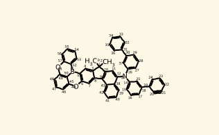 CC1(C)c2cc3c(cc2-c2c1cc(N(c1cccc(-c4c#cccc4)c1)c1cccc(-c4ccccc4)c1)c1ccccc21)Oc1cccc2c1B3c1ccccc1O2